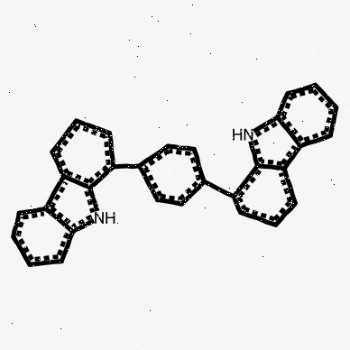 c1ccc2c(c1)[nH]c1c(-c3ccc(-c4cccc5c4[nH]c4ccccc45)cc3)cccc12